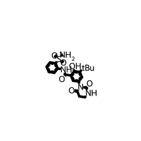 CC(C)(C)c1cc(N2C(=O)CCNC2=O)cc(C(=O)Nc2ccccc2S(N)(=O)=O)c1O